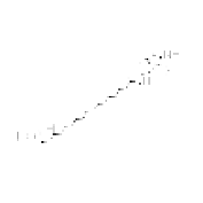 NC1CC(=O)N(CCNC(=O)CCCCCCCCCCCCCCCC(F)P(O)O)C1=O